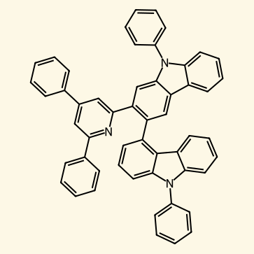 c1ccc(-c2cc(-c3ccccc3)nc(-c3cc4c(cc3-c3cccc5c3c3ccccc3n5-c3ccccc3)c3ccccc3n4-c3ccccc3)c2)cc1